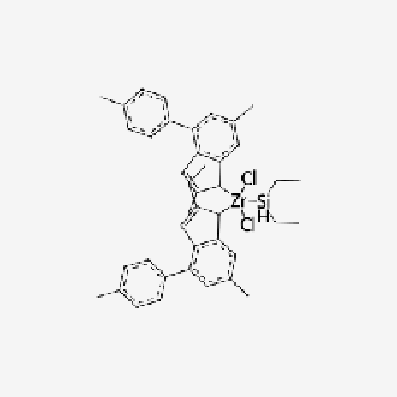 CCC1=Cc2c(-c3ccc(C)cc3)cc(C)cc2[CH]1[Zr]([Cl])([Cl])([CH]1C(C)=Cc2c(-c3ccc(C)cc3)cc(C)cc21)[SiH](CC)CC